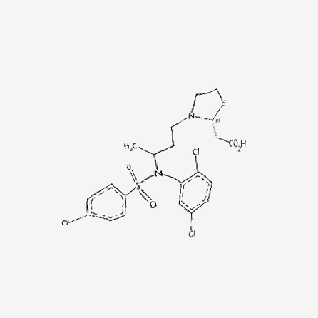 CC(CCN1CCS[C@@H]1CC(=O)O)N(c1cc(Cl)ccc1Cl)S(=O)(=O)c1ccc(Cl)cc1